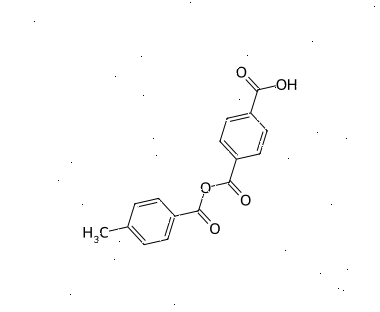 Cc1ccc(C(=O)OC(=O)c2ccc(C(=O)O)cc2)cc1